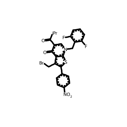 CC(C)C(=O)c1cn(Cc2c(F)cccc2F)c2sc(-c3ccc([N+](=O)[O-])cc3)c(CBr)c2c1=O